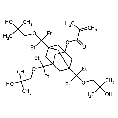 C=C(C)C(=O)OC12CC3(C(CC)(CC)OCC(C)(C)O)CC(C(CC)(CC)OCC(C)(C)O)(C1)CC(C(CC)(CC)OCC(C)(C)O)(C2)C3